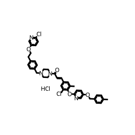 Cc1ccc(COc2ccc(Oc3c(C)cc(/C=C/C(=O)N4CCN(Cc5ccc(CCOc6ccc(Cl)nc6)cc5)CC4)cc3Cl)nc2)cc1.Cl